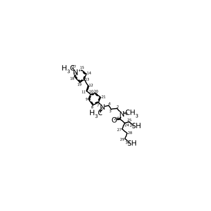 CN(CCCN(C)c1ccc(/C=C/c2cc[n+](C)cc2)cc1)C(=O)C(CS)CCCS